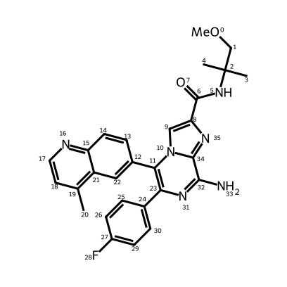 COCC(C)(C)NC(=O)c1cn2c(-c3ccc4nccc(C)c4c3)c(-c3ccc(F)cc3)nc(N)c2n1